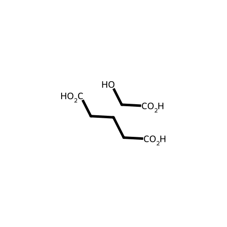 O=C(O)CCCC(=O)O.O=C(O)CO